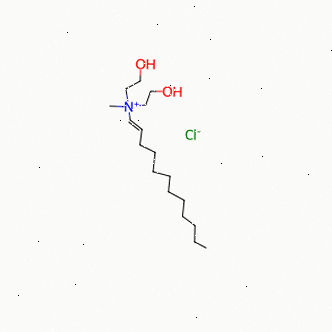 CCCCCCCCCCC=C[N+](C)(CCO)CCO.[Cl-]